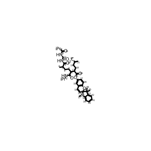 CC(C)NC(=O)C(CCC(C)C(=O)NCNC(=O)C(C)C)C(CCC(C)C(=O)O)C(=O)Oc1ccc2c(c1)C=CC1(O2)N(C)c2ccccc2C1(C)C